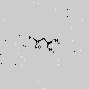 C=C(C)CN(CC)N=O